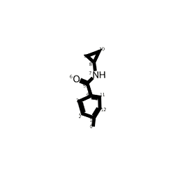 Cc1[c]cc(C(=O)NC2CC2)cc1